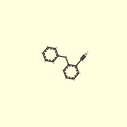 N#Cc1ccc[c]c1Cc1ccccc1